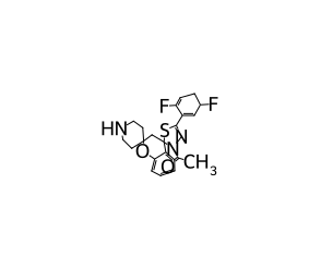 CC(=O)N1N=C(C2=CC(F)CC=C2F)SC12CC1(CCNCC1)Oc1ccccc12